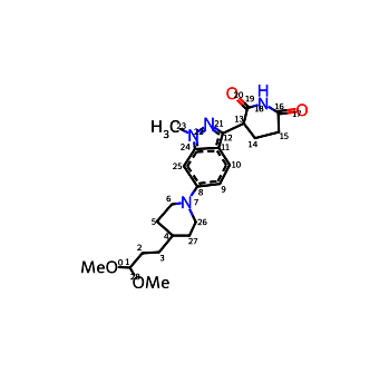 COC(CCC1CCN(c2ccc3c(C4CCC(=O)NC4=O)nn(C)c3c2)CC1)OC